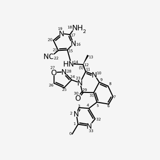 Cc1ncc(-c2cccc3nc([C@H](C)Nc4nc(N)ncc4C#N)n(-c4ccon4)c(=O)c23)cn1